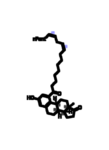 CCCCC/C=C\C/C=C\CCCCCCCC(=O)c1cc(O)cc2c1[C@H]1CC[C@]3(C)C(=O)CC[C@H]3[C@@H]1CC2